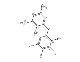 Nc1cc(Cc2cc(F)c(F)c(F)c2F)c(O)c(C(=O)O)c1